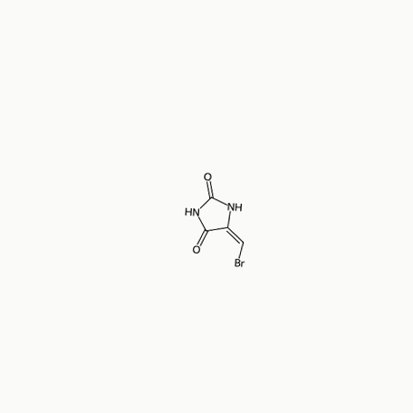 O=C1NC(=O)C(=CBr)N1